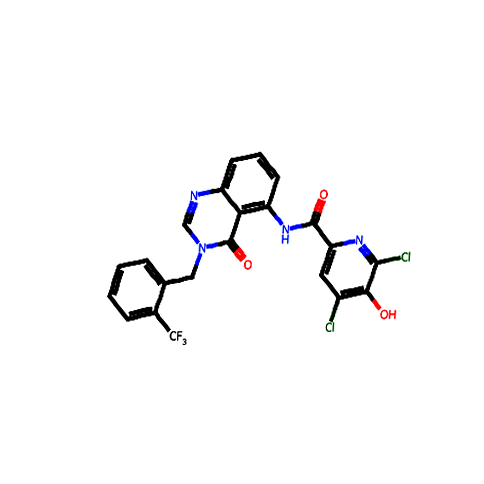 O=C(Nc1cccc2ncn(Cc3ccccc3C(F)(F)F)c(=O)c12)c1cc(Cl)c(O)c(Cl)n1